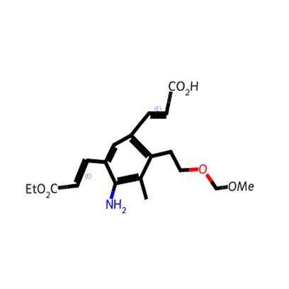 CCOC(=O)/C=C/c1cc(/C=C/C(=O)O)c(CCOCOC)c(C)c1N